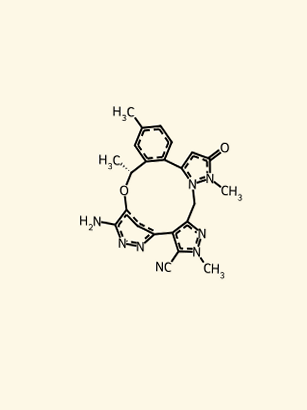 Cc1ccc2c(c1)[C@@H](C)Oc1cc(nnc1N)-c1c(nn(C)c1C#N)Cn1c-2cc(=O)n1C